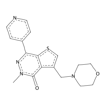 Cn1nc(-c2ccncc2)c2scc(CN3CCOCC3)c2c1=O